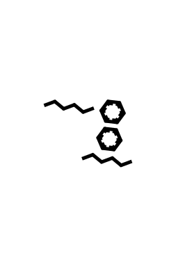 CCCCCC.CCCCCC.c1ccccc1.c1ccccc1